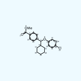 COC(=O)c1ccc(C(Oc2ccc(Cl)nc2)C2CCCCC2)cc1